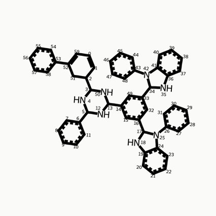 C1=CC(C2NC(c3ccccc3)NC(c3cc(C4Nc5ccccc5N4c4ccccc4)cc(C4Nc5ccccc5N4c4ccccc4)c3)N2)CC(c2ccccc2)=C1